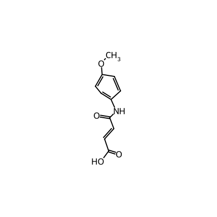 COc1ccc(NC(=O)C=CC(=O)O)cc1